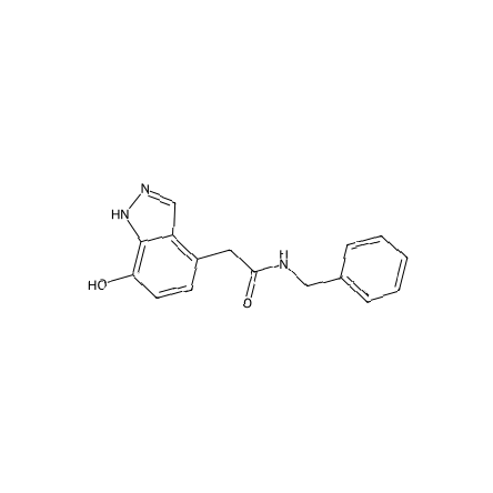 O=C(Cc1ccc(O)c2[nH]ncc12)NCc1ccccc1